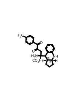 NC(CC(=O)C(=O)c1ccc(C(F)(F)F)cc1)(C(=O)O)C1c2ccccc2N[C@@H]2CCC[C@H]12